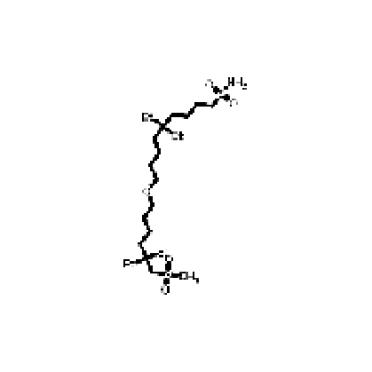 CCC(CC)(CCCCOCCCCC(CC)(CC)CS(C)(=O)=O)CCCCS(N)(=O)=O